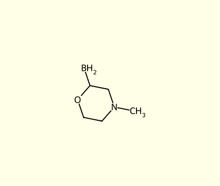 BC1CN(C)CCO1